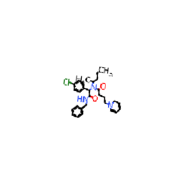 CCCC(C)N(C(=O)CCCN1C=CC=CC1)C(C(=O)NCc1ccccc1)c1ccc(Cl)cc1